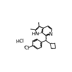 Cc1[nH]c2c(C(c3ccc(Cl)cc3)C3CCC3)nccc2c1C.Cl